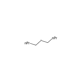 CCCC[CH]CCCC